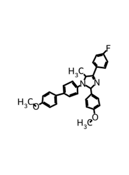 COc1ccc(-c2ccc(N3C(C)C(c4ccc(F)cc4)=NC3c3ccc(OC)cc3)cc2)cc1